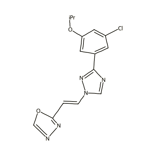 CC(C)Oc1cc(Cl)cc(-c2ncn(C=Cc3nnco3)n2)c1